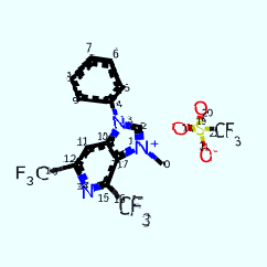 C[n+]1cn(-c2ccccc2)c2cc(C(F)(F)F)nc(C(F)(F)F)c21.O=S(=O)([O-])C(F)(F)F